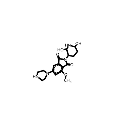 COc1cc(N2CCNCC2)cc2c1C(=O)N(C1CCC(O)NC1O)C2=O